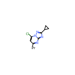 CC(C)c1cc(Cl)n2nc(C3CC3)nc2n1